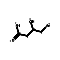 CC(=O)CC(O)CC(=O)S